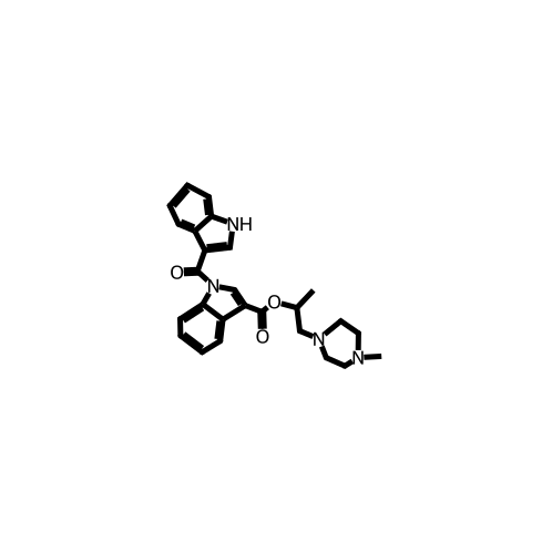 CC(CN1CCN(C)CC1)OC(=O)c1cn(C(=O)c2c[nH]c3ccccc23)c2ccccc12